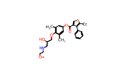 CCc1scc(C(=O)Oc2cc(C)c(OCC(O)CNCCO)c(C)c2)c1-c1ccccc1